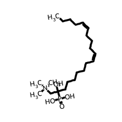 CCCC/C=C\CCC/C=C\CCCCCCC(O)(C[N+](C)(C)C)P(=O)(O)O